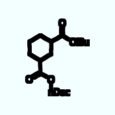 CCCCCCCCCCOC(=O)C1CCCC(C(=O)OCC(C)C)C1